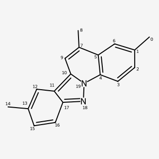 Cc1ccc2c(c1)c(C)cc1c3cc(C)ccc3nn21